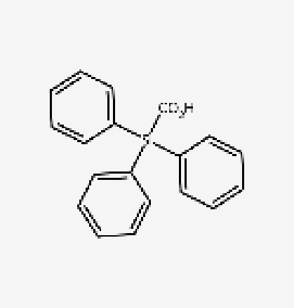 O=C(O)[Si](c1ccccc1)(c1ccccc1)c1ccccc1